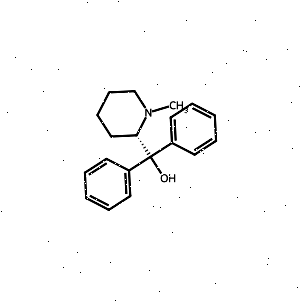 CN1CCCC[C@H]1C(O)(c1ccccc1)c1ccccc1